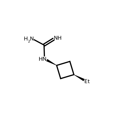 CC[C@H]1C[C@@H](NC(=N)N)C1